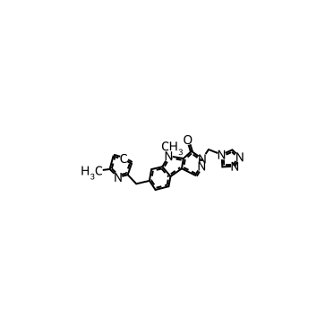 Cc1cccc(Cc2ccc3c4cnn(Cn5cnnc5)c(=O)c4n(C)c3c2)n1